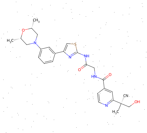 C[C@@H]1CN(c2cccc(-c3csc(NC(=O)CNC(=O)c4ccnc([C@@](C)(C#N)CO)c4)n3)c2)C[C@H](C)O1